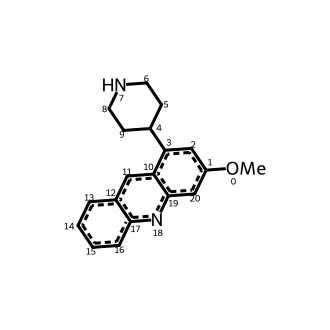 COc1cc(C2CCNCC2)c2cc3ccccc3nc2c1